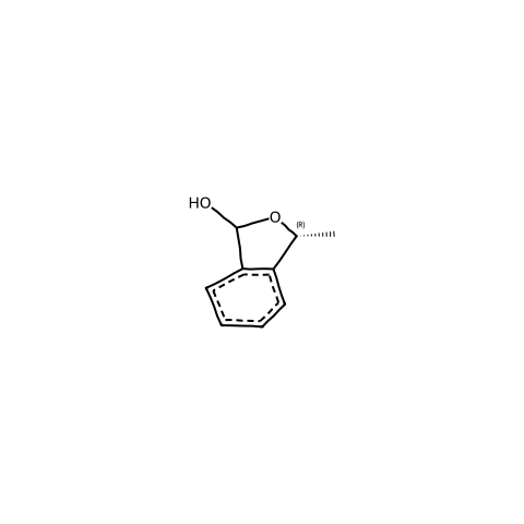 C[C@H]1OC(O)c2ccccc21